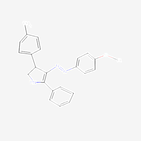 CCOc1ccc(N=NC2=C(c3ccccc3)NCC2c2ccc(C)cc2)cc1